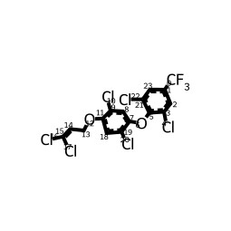 FC(F)(F)c1cc(Cl)c(Oc2cc(Cl)c(OCC=C(Cl)Cl)cc2Cl)c(Cl)c1